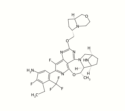 CCc1c(F)c(N)cc(-c2nc3c4c(nc(OC[C@@H]5CC[C@H]6COCCN65)nc4c2F)N2C[C@H]4CC[C@H](N4)[C@H]2[C@H](C)O3)c1C(F)(F)F